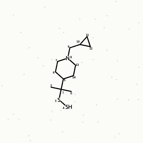 CC(C)(SS)C1CCN(CC2CC2)CC1